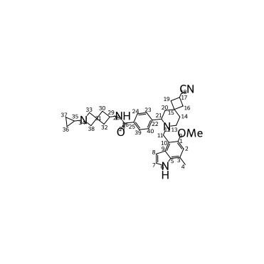 COc1cc(C)c2[nH]ccc2c1CN1CCC2(CC(C#N)C2)CC1c1ccc(C(=O)NC2CC3(C2)CN(C2CC2)C3)cc1